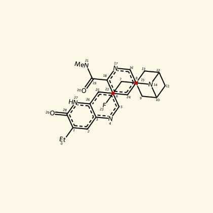 CCc1cc2ncc(CN3CC4CC(C3)N4c3cnc(C(=O)NC)c(F)c3)cc2[nH]c1=O